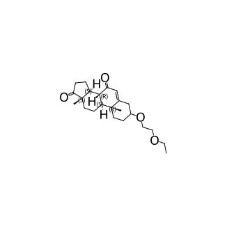 CCOCCOC1CC[C@@]2(C)C(=CC(=O)[C@@H]3[C@@H]2CC[C@]2(C)C(=O)CC[C@@H]32)C1